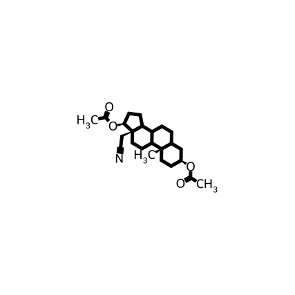 CC(=O)O[C@H]1CC[C@@]2(C)C(CCC3C2CC[C@@]2(CC#N)C3CC[C@@H]2OC(C)=O)C1